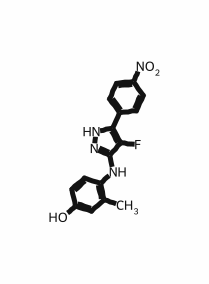 Cc1cc(O)ccc1Nc1n[nH]c(-c2ccc([N+](=O)[O-])cc2)c1F